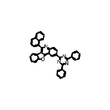 c1ccc(-c2nc(-c3ccccc3)nc(-c3ccc4nc(-c5cccc6ccccc56)c5c6ccccc6oc5c4c3)n2)cc1